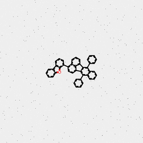 c1ccc(-c2c3c(c(-c4ccccc4)c4ccccc24)-c2ccc(-c4cccc5c4oc4ccccc45)c4cccc-3c24)cc1